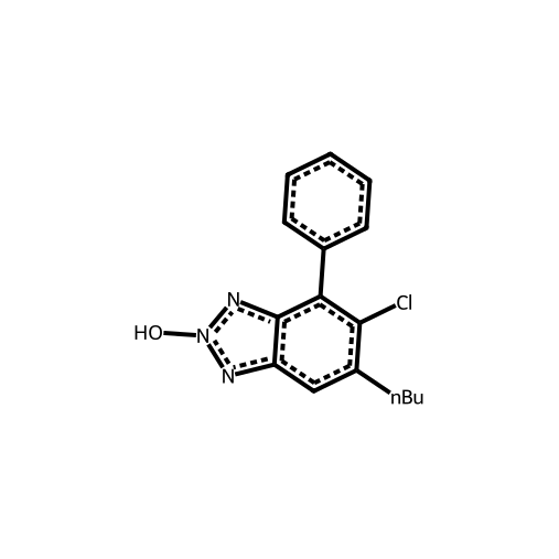 CCCCc1cc2nn(O)nc2c(-c2ccccc2)c1Cl